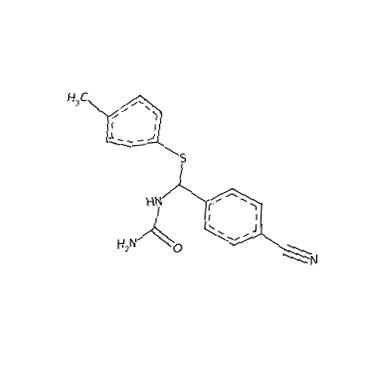 Cc1ccc(SC(NC(N)=O)c2ccc(C#N)cc2)cc1